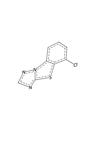 Clc1cccc2c1sc1ncnn12